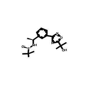 C[C@H](N[S@+]([O-])C(C)(C)C)c1cccc(-c2noc(C(C)(C)O)n2)c1